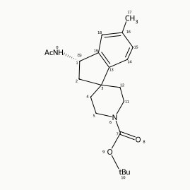 CC(=O)N[C@H]1CC2(CCN(C(=O)OC(C)(C)C)CC2)c2ccc(C)cc21